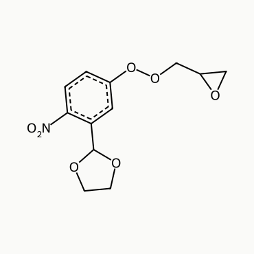 O=[N+]([O-])c1ccc(OOCC2CO2)cc1C1OCCO1